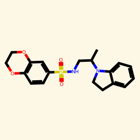 CC(CNS(=O)(=O)c1ccc2c(c1)OCCO2)N1CCc2ccccc21